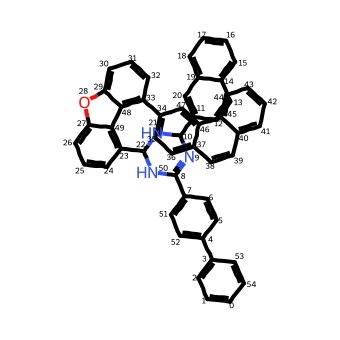 c1ccc(-c2ccc(C3=NC(c4ccc5ccccc5c4)NC(c4cccc5oc6cccc(-c7ccc8ccc9ccccc9c8c7)c6c45)N3)cc2)cc1